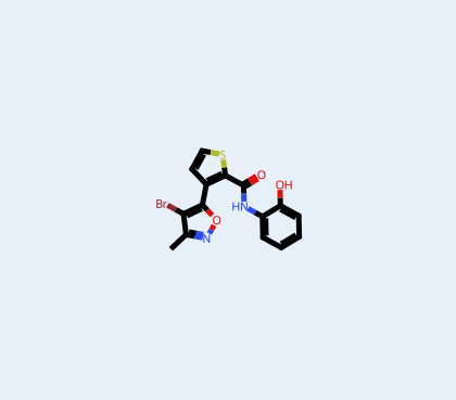 Cc1noc(-c2ccsc2C(=O)Nc2ccccc2O)c1Br